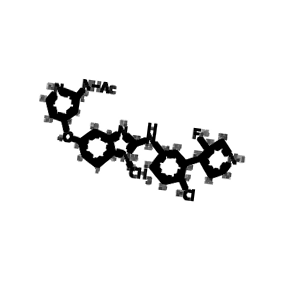 CC(=O)Nc1cc(Oc2ccc3c(c2)nc(Nc2ccc(Cl)c(-c4ccncc4F)c2)n3C)ccn1